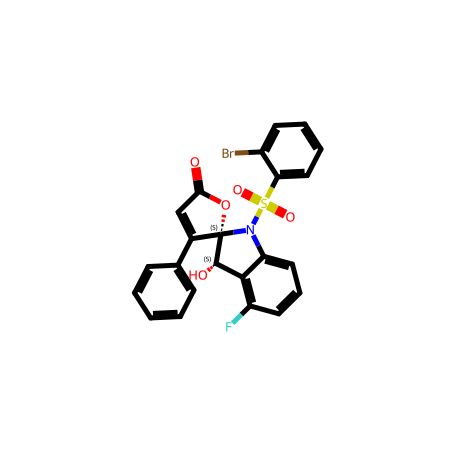 O=C1C=C(c2ccccc2)[C@]2(O1)[C@@H](O)c1c(F)cccc1N2S(=O)(=O)c1ccccc1Br